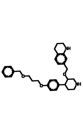 c1ccc(COCCCOc2ccc(C3CCNCC3OCc3ccc4c(c3)NCCC4)cc2)cc1